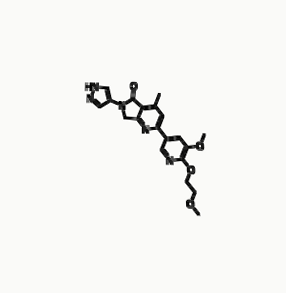 COCCOc1ncc(-c2cc(C)c3c(n2)CN(c2cn[nH]c2)C3=O)cc1OC